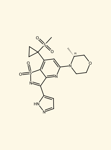 C[C@@H]1COCCN1c1cc(C2(S(C)(=O)=O)CC2)c2c(n1)C(c1ccn[nH]1)=NS2(=O)=O